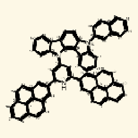 C1=C(c2cc3ccc4cccc5ccc(c2)c3c45)NC(c2cc3ccc4cccc5ccc(c2)c3c45)C=C1n1c2ccccc2c2ccc3c(c4ccccc4n3-c3ccc4ccccc4c3)c21